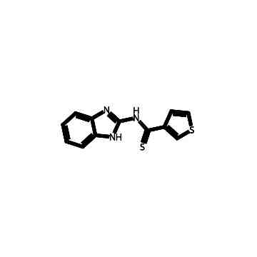 S=C(Nc1nc2ccccc2[nH]1)c1ccsc1